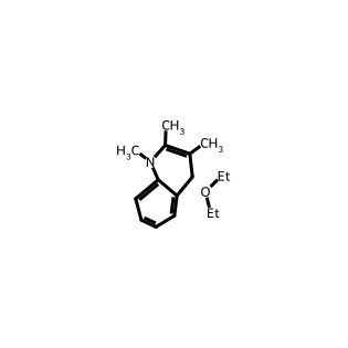 CC1=C(C)N(C)c2ccccc2C1.CCOCC